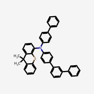 CC1(C)c2ccccc2Sc2c(N(c3ccc(-c4ccccc4)cc3)c3ccc(-c4cccc(-c5ccccc5)c4)cc3)cccc21